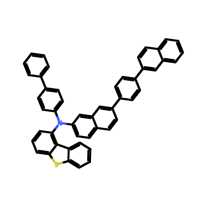 c1ccc(-c2ccc(N(c3ccc4ccc(-c5ccc(-c6ccc7ccccc7c6)cc5)cc4c3)c3cccc4sc5ccccc5c34)cc2)cc1